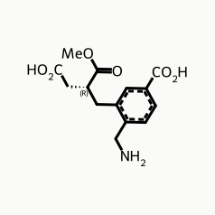 COC(=O)[C@@H](CC(=O)O)Cc1cc(C(=O)O)ccc1CN